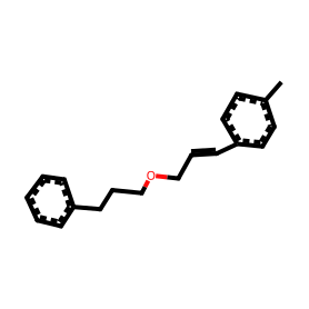 Cc1ccc(C=CCOCCCc2ccccc2)cc1